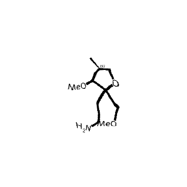 COCC1(CCN)OC[C@H](C)C1OC